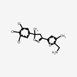 Cc1cc(C2=NOC(c3cc(Cl)c(Cl)c(Cl)c3)(C(F)(F)F)C2)oc1CN